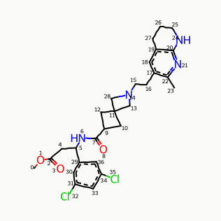 COC(=O)CC(NC(=O)C1CC2(C1)CN(CCc1cc3c(nc1C)NCCC3)C2)c1cc(Cl)cc(Cl)c1